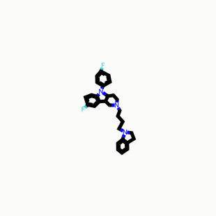 Fc1ccc(N2c3ccc(F)cc3C3CN(CCCCN4CCc5ccccc54)CCC32)cc1